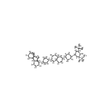 FC(F)(F)c1cc(-c2ccc(-c3ccc4cc(-c5ccc(-c6cccc7c6oc6ncccc67)cc5)ccc4c3)cc2)cc(C(F)(F)F)c1